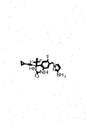 CC(F)(F)[C@@]1(C#CC2CC2)NC(=O)Nc2cc(Cn3ccc(N)n3)c(F)cc21